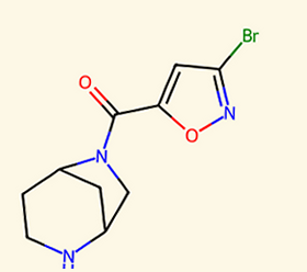 O=C(c1cc(Br)no1)N1CC2CC1CCN2